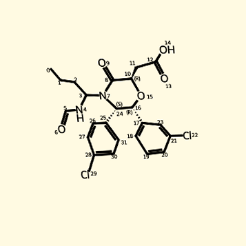 CCCC(NC=O)N1C(=O)[C@@H](CC(=O)O)O[C@H](c2cccc(Cl)c2)[C@@H]1c1ccc(Cl)cc1